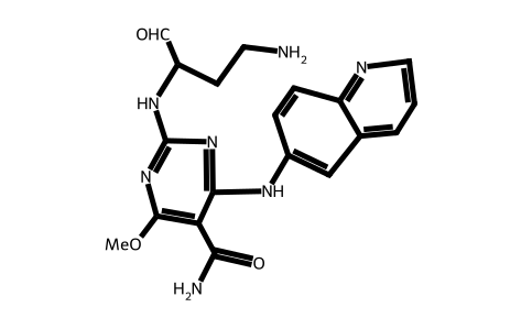 COc1nc(NC(C=O)CCN)nc(Nc2ccc3ncccc3c2)c1C(N)=O